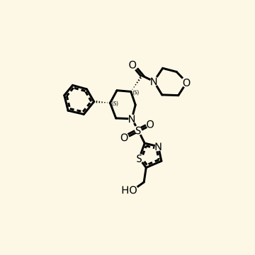 O=C([C@H]1C[C@@H](c2ccccc2)CN(S(=O)(=O)c2ncc(CO)s2)C1)N1CCOCC1